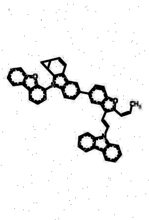 C/C=C\c1oc2c#cc(-c3ccc4c(c3)c3c(n4-c4cccc5c4oc4ccccc45)C4CC4C=C3)cc2c1/C=C/n1c2ccccc2c2ccccc21